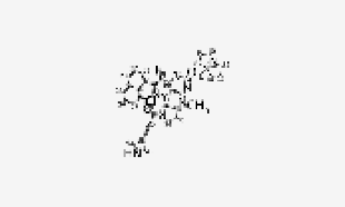 CN(c1nc(OCC23CCCN2CCC3)nc2c(F)c(-c3cccc4cccc(Cl)c34)ncc12)C1CCN(C(=O)C#CC2CNC2)C1